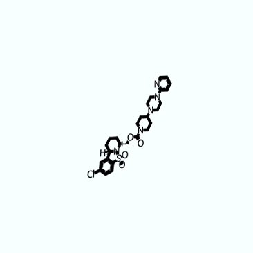 O=C(OC[C@H]1CCC[C@H]2c3cc(Cl)ccc3S(=O)(=O)N12)N1CCC(N2CCN(c3ccccn3)CC2)CC1